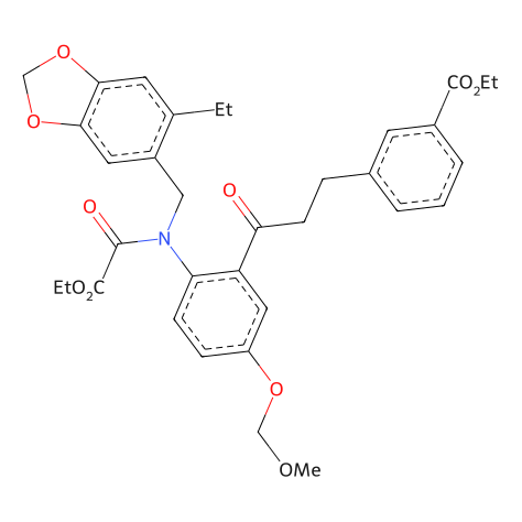 CCOC(=O)C(=O)N(Cc1cc2c(cc1CC)OCO2)c1ccc(OCOC)cc1C(=O)CCc1cccc(C(=O)OCC)c1